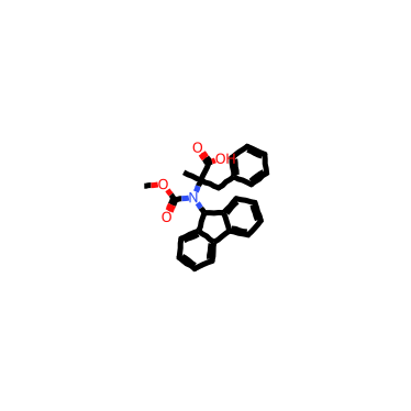 COC(=O)N(C1c2ccccc2-c2ccccc21)C(C)(Cc1ccccc1)C(=O)O